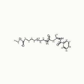 CCOC(=O)CCCCSCCNC(=O)CC(C)NC(=O)c1ccccc1